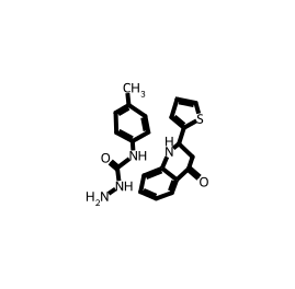 Cc1ccc(NC(=O)NN)cc1.O=C1CC(c2cccs2)Nc2ccccc21